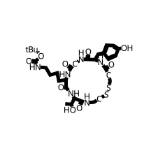 CC(O)C1NC(=O)C(CCCCNC(=O)OC(C)(C)C)NC(=O)CNC(=O)C(Cc2ccc(O)cc2)NC(=O)CCSSCCNC1=O